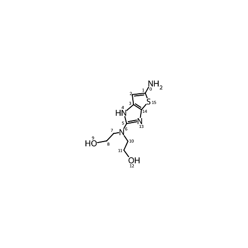 Nc1cc2[nH]c(N(CCO)CCO)nc2s1